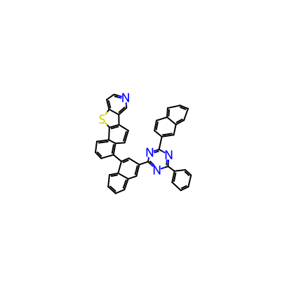 c1ccc(-c2nc(-c3ccc4ccccc4c3)nc(-c3cc(-c4cccc5c4ccc4c6cnccc6sc54)c4ccccc4c3)n2)cc1